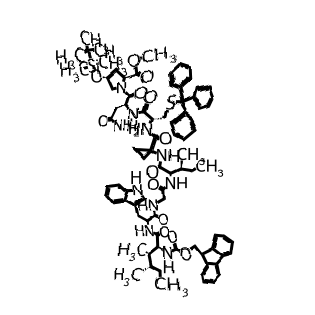 CC[C@H](C)[C@H](C)[C@H](NC(=O)OCC1c2ccccc2-c2ccccc21)C(=O)NC(Cc1c[nH]c2ccccc12)C(=O)NCC(=O)N[C@H](C(=O)NC1(C(=O)N[C@@H](CSC(c2ccccc2)(c2ccccc2)c2ccccc2)C(=O)N[C@@H](CC(N)=O)C(=O)N2C[C@H](O[Si](C)(C)C(C)(C)C)C[C@H]2C(=O)OC)CC1)[C@@H](C)CC